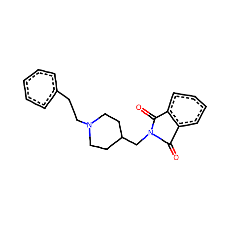 O=C1c2ccccc2C(=O)N1CC1CCN(CCc2ccccc2)CC1